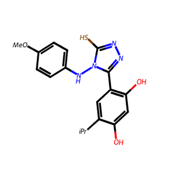 COc1ccc(Nn2c(S)nnc2-c2cc(C(C)C)c(O)cc2O)cc1